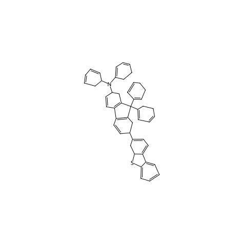 C1=CCCC(N(C2C=CC=CC2)C2C=CC3=C(C2)C(C2=CCCC=C2)(C2=CC=CCC2)C2=C3C=CC(C3=CC=C4c5ccccc5SC4C3)C2)=C1